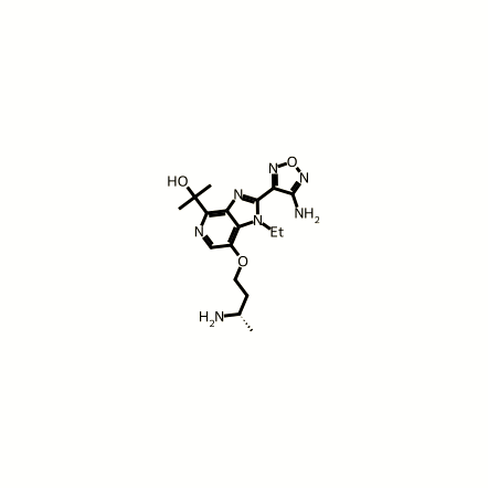 CCn1c(-c2nonc2N)nc2c(C(C)(C)O)ncc(OCC[C@H](C)N)c21